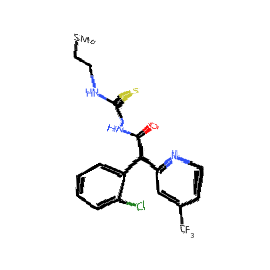 CSCCNC(=S)NC(=O)C(c1cc(C(F)(F)F)ccn1)c1ccccc1Cl